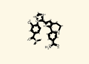 CN(C)C(=O)c1ccc(-n2ncnc2-c2cc3c(s2)-c2ccc(C(N)=O)cc2OCC3)c(Cl)c1